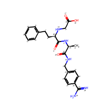 C[C@H](NC(=O)[C@@H](CCc1ccccc1)NCC(=O)O)C(=O)NCc1ccc(C(=N)N)cc1